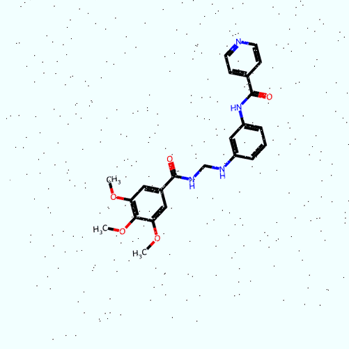 COc1cc(C(=O)NCNc2cccc(NC(=O)c3ccncc3)c2)cc(OC)c1OC